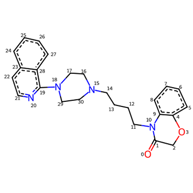 O=C1COc2ccccc2N1CCCCN1CCN(c2nccc3ccccc23)CC1